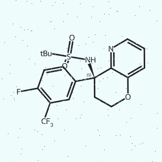 CC(C)(C)S(=O)(=O)N[C@]1(c2ccc(F)c(C(F)(F)F)c2)CCOc2cccnc21